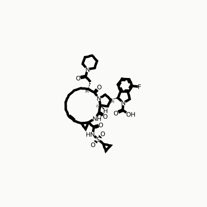 O=C1NC2(C(=O)NS(=O)(=O)C3CC3)CC2C=CCCCCC[C@H](CC(=O)N2CCCCC2)C(=O)N2C[C@H](C3c4cccc(F)c4CN3C(=O)O)C[C@@H]12